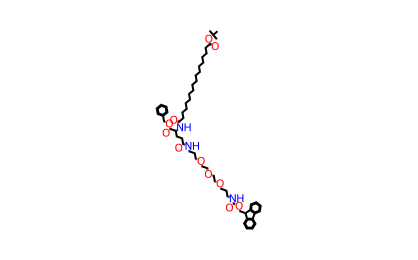 CC(C)(C)OC(=O)CCCCCCCCCCCCCCCCC(=O)NC(CCC(=O)NCCCOCCOCCOCCCNC(=O)OCC1c2ccccc2-c2ccccc21)C(=O)OCc1ccccc1